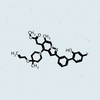 C=CCOC1(C)CCN(c2c(CC(=O)OC)c(C)cn3nc(-c4cccc(-c5ccc(F)cc5O)c4)cc23)CC1